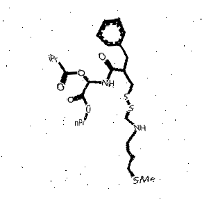 CCCOC(=O)C(NC(=O)C(CSSCNCCCSC)Cc1ccccc1)OC(=O)C(C)C